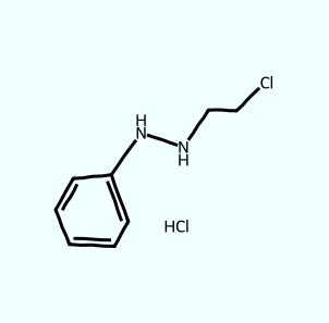 Cl.ClCCNNc1ccccc1